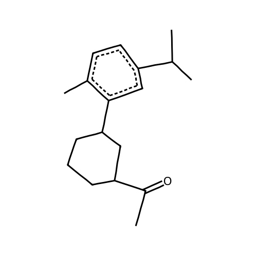 CC(=O)C1CCCC(c2cc(C(C)C)ccc2C)C1